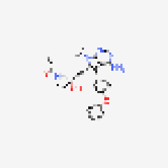 C=CC(=O)N1CCC(O)(C#Cc2c(-c3ccc(Oc4ccccc4)cc3)c3c(N)ncnc3n2C(C)C)C1